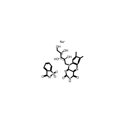 Cc1cc2nc3c(=O)[nH]c(=O)nc-3n(C[C@H](O)[C@H](O)[C@H](O)CO)c2cc1C.O=C1[N-]S(=O)(=O)c2ccccc21.[Na+]